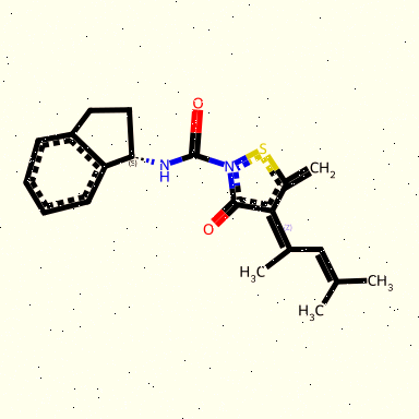 C=c1sn(C(=O)N[C@H]2CCc3ccccc32)c(=O)/c1=C(\C)C=C(C)C